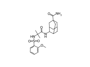 COc1ccccc1S(=O)(=O)NC(C)(C)C(=O)NC1C2CC3CC1CC(C(N)=O)(C3)C2